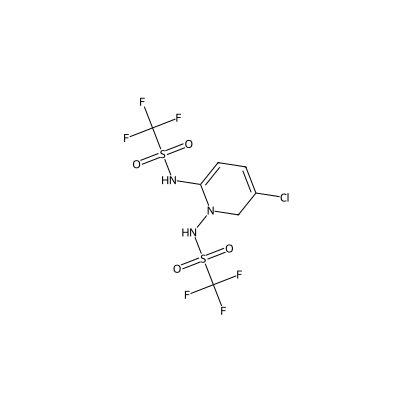 O=S(=O)(NC1=CC=C(Cl)CN1NS(=O)(=O)C(F)(F)F)C(F)(F)F